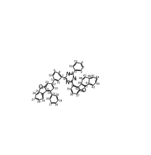 c1ccc(-c2nc(-c3cccc(-c4cc(-c5ccccc5)c5c(c4)oc4ccccc45)c3)nc(-c3cccc4oc5c6ccccc6ccc5c34)n2)cc1